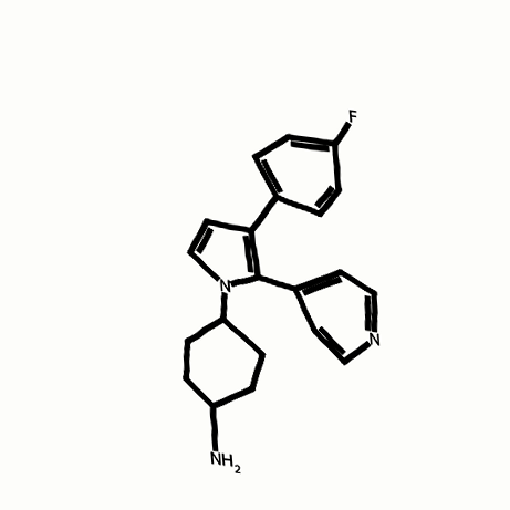 NC1CCC(n2ccc(-c3ccc(F)cc3)c2-c2ccncc2)CC1